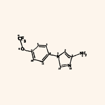 Nc1cn(-c2ccc(OC(F)(F)F)cc2)cn1